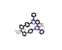 C/C=C\C(=C/C(C)C)c1cc(-c2ccccc2)nc(-c2ccc(-c3cccc4c3Oc3c(-c5ccc(-c6nc(-c7ccccc7)cc(-c7ccccc7)n6)cc5)cccc3C4(C)C)cc2)n1